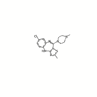 Cc1cc2c(s1)C(N1CCN(C)CC1)=Nc1cc(Cl)ccc1N2